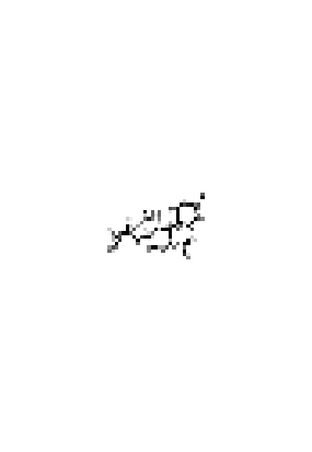 C=C(C)[C@@H]1CC[C@@](CO)(CC(=O)N(C)C)C[C@H]1c1ccc(C)cc1